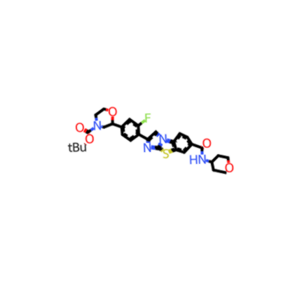 CC(C)(C)OC(=O)N1CCOC(c2ccc(-c3cn4c(n3)sc3cc(C(=O)NC5CCOCC5)ccc34)c(F)c2)C1